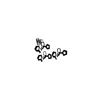 Cc1cccc[n+]1CC(=O)C1CCCC1.Cc1cccc[n+]1CC(=O)C1CCCC1.Cc1cccc[n+]1CC(=O)C1CCCC1.[Br-].[Br-].[Br-]